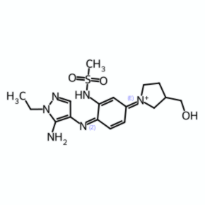 CCn1ncc(/N=C2C=C/C(=[N+]3/CCC(CO)C3)C=C/2NS(C)(=O)=O)c1N